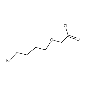 O=C(Cl)COCCCCBr